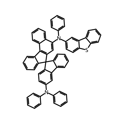 c1ccc(N(c2ccccc2)c2ccc3c(c2)-c2ccccc2C32c3ccccc3-c3c2cc(N(c2ccccc2)c2ccc4sc5ccccc5c4c2)c2ccccc32)cc1